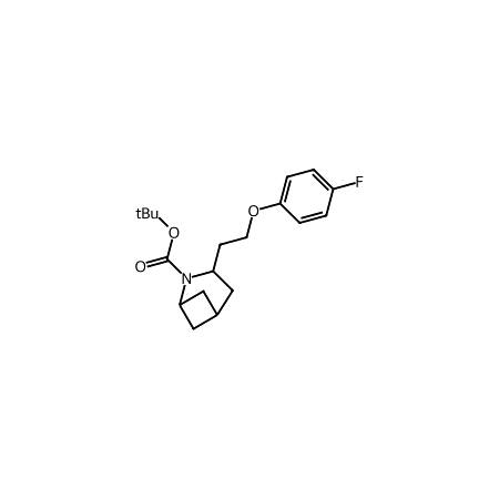 CC(C)(C)OC(=O)N1C(CCOc2ccc(F)cc2)CC2CC1C2